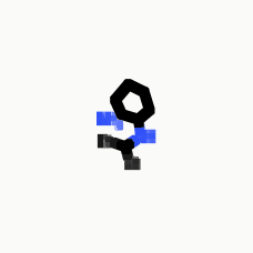 CCC(CC)NC1CCCCC1.N